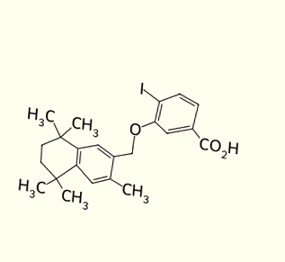 Cc1cc2c(cc1COc1cc(C(=O)O)ccc1I)C(C)(C)CCC2(C)C